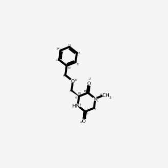 CN1CC(=O)N[C@@H](COCc2ccccc2)C1=O